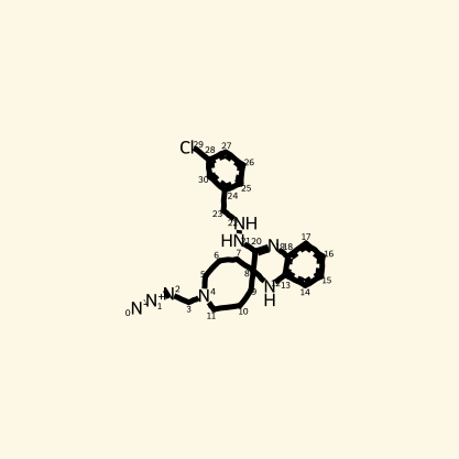 [N-]=[N+]=NCN1CCCC2(CCC1)Nc1ccccc1N=C2NNCc1cccc(Cl)c1